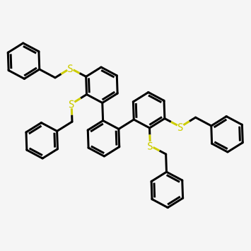 c1ccc(CSc2cccc(-c3ccccc3-c3cccc(SCc4ccccc4)c3SCc3ccccc3)c2SCc2ccccc2)cc1